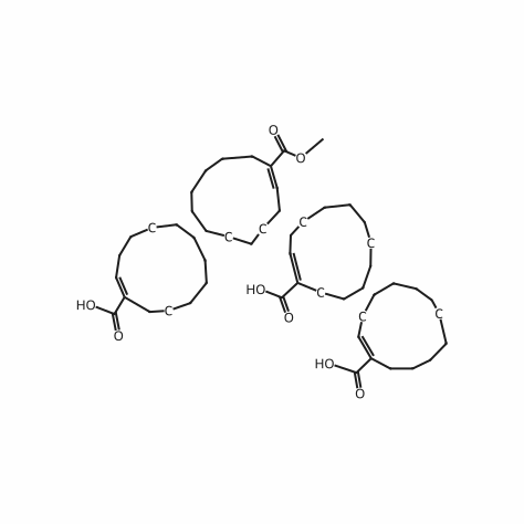 COC(=O)C1=CCCCCCCCCCC1.O=C(O)C1=CCCCCCCCCCC1.O=C(O)C1=CCCCCCCCCCC1.O=C(O)C1=CCCCCCCCCCC1